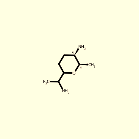 C[C@H]1OC(C(N)C(F)(F)F)CC[C@H]1N